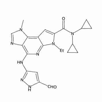 CCn1c(C(=O)N(C2CC2)C2CC2)cc2c3c(ncn3C)c(Nc3cc(C=O)[nH]n3)nc21